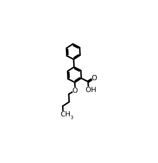 CCCCOc1ccc(-c2ccccc2)cc1C(=O)O